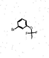 FC(F)(F)Oc1[c]c(Br)ccc1